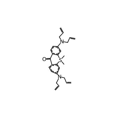 C=CCN(CC=C)c1ccc2c(c1)S(C)(C)c1cc(N(CC=C)CC=C)ccc1C2=O